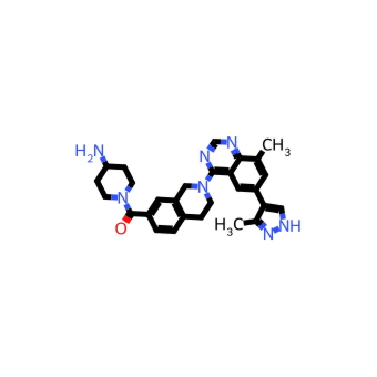 Cc1n[nH]cc1-c1cc(C)c2ncnc(N3CCc4ccc(C(=O)N5CCC(N)CC5)cc4C3)c2c1